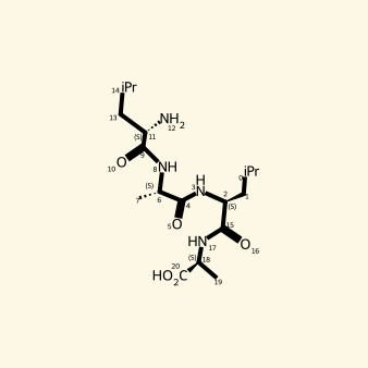 CC(C)C[C@H](NC(=O)[C@H](C)NC(=O)[C@@H](N)CC(C)C)C(=O)N[C@@H](C)C(=O)O